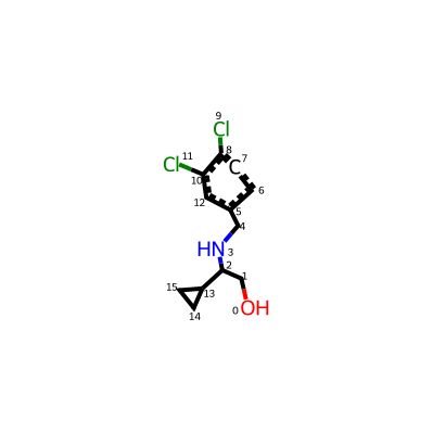 OCC(NCc1ccc(Cl)c(Cl)c1)C1CC1